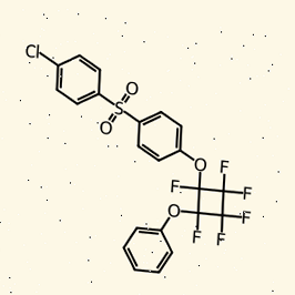 O=S(=O)(c1ccc(Cl)cc1)c1ccc(OC2(F)C(F)(F)C(F)(F)C2(F)Oc2ccccc2)cc1